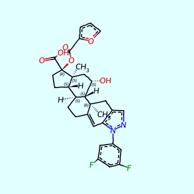 C[C@]12Cc3cnn(-c4cc(F)cc(F)c4)c3C=C1CC[C@@H]1[C@@H]2[C@@H](O)C[C@@]2(C)[C@H]1CC[C@]2(OC(=O)c1ccco1)C(=O)O